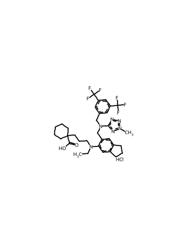 CCN(CCCC1(C(=O)O)CCCCC1)c1cc2c(cc1CN(Cc1cc(C(F)(F)F)cc(C(F)(F)F)c1)c1nnn(C)n1)CCC2.Cl